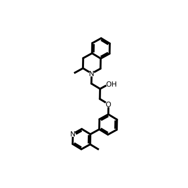 Cc1ccncc1-c1cccc(OCC(O)CN2Cc3ccccc3CC2C)c1